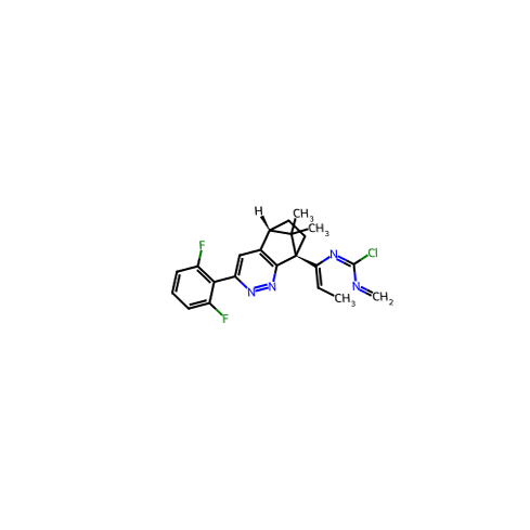 C=N/C(Cl)=N\C(=C/C)[C@@]12CC[C@@H](c3cc(-c4c(F)cccc4F)nnc31)C2(C)C